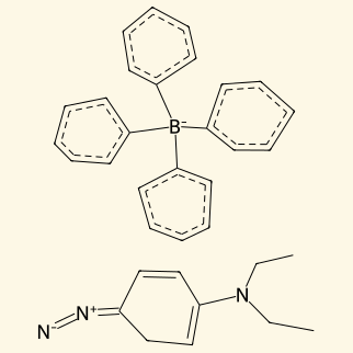 CCN(CC)C1=CCC(=[N+]=[N-])C=C1.c1ccc([B-](c2ccccc2)(c2ccccc2)c2ccccc2)cc1